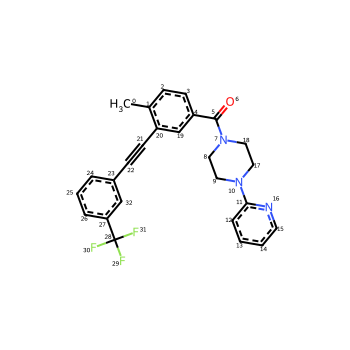 Cc1ccc(C(=O)N2CCN(c3ccccn3)CC2)cc1C#Cc1cccc(C(F)(F)F)c1